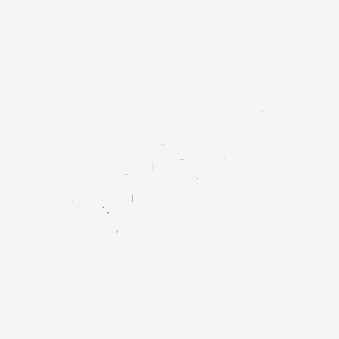 O=C(/C=C/c1ccc(Sc2ccccc2OCCc2ccsc2)c(C(F)(F)F)c1C(F)(F)F)N1CCOCC1